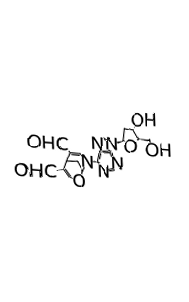 O=CC1=COC2CC1C(C=O)=CN2c1ncnc2c1ncn2[C@H]1C[C@H](O)[C@@H](CO)O1